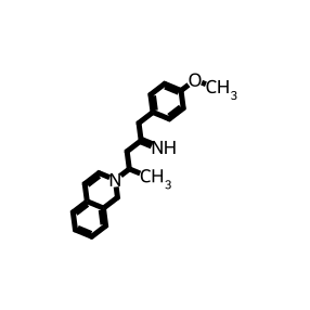 COc1ccc(CC(=N)CC(C)N2C=Cc3ccccc3C2)cc1